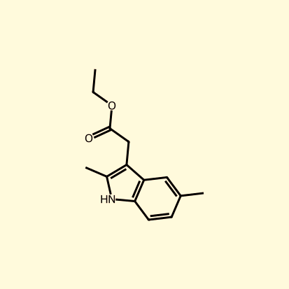 CCOC(=O)Cc1c(C)[nH]c2ccc(C)cc12